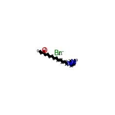 C=CC(=O)CCCCCCCCCCC[n+]1ccn(C)c1.[Br-]